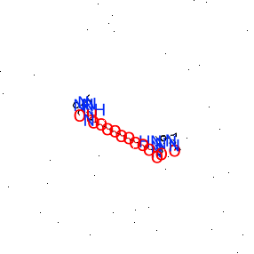 C=CC(=O)N1CCN([C@@H](CC2CC2)c2ccc([C@H](C)Nc3ncc4c(n3)N(CCOCCOCCOCCOCCOCCOCCOCCOCCOc3ccc(CNc5cc(N6CCCC[C@H]6CCO)nc6c(CC)cnn56)cn3)C(=O)OC4)cc2)CC1